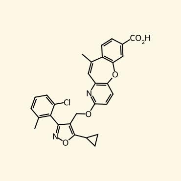 CC1=Cc2nc(OCc3c(-c4c(C)cccc4Cl)noc3C3CC3)ccc2Oc2cc(C(=O)O)ccc21